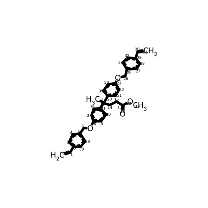 C=Cc1ccc(COc2ccc(C(C)(CCC(=O)OC)c3ccc(OCc4ccc(C=C)cc4)cc3)cc2)cc1